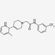 CC1=CC=CNC1C1=CCN(CC(=O)Nc2cccc(C(F)(F)F)c2)CC1